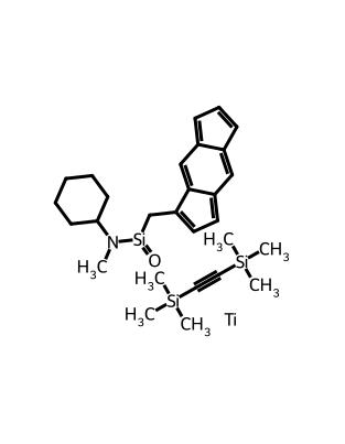 CN(C1CCCCC1)[Si](=O)CC1=CC=c2cc3c(cc21)=CC=C3.C[Si](C)(C)C#C[Si](C)(C)C.[Ti]